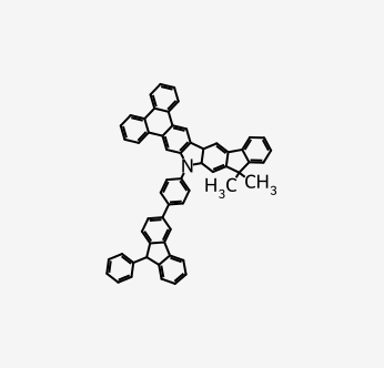 CC1(C)C2=CC3C(C=C2c2ccccc21)c1cc2c4ccccc4c4ccccc4c2cc1N3c1ccc(-c2ccc3c(c2)-c2ccccc2C3c2ccccc2)cc1